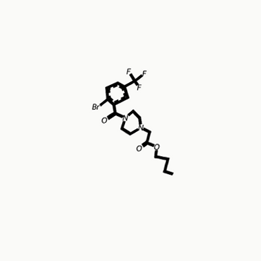 CCCCOC(=O)CN1CCN(C(=O)c2cc(C(F)(F)F)ccc2Br)CC1